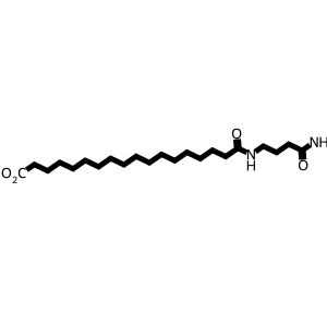 NC(=O)CCCNC(=O)CCCCCCCCCCCCCCCCC(=O)O